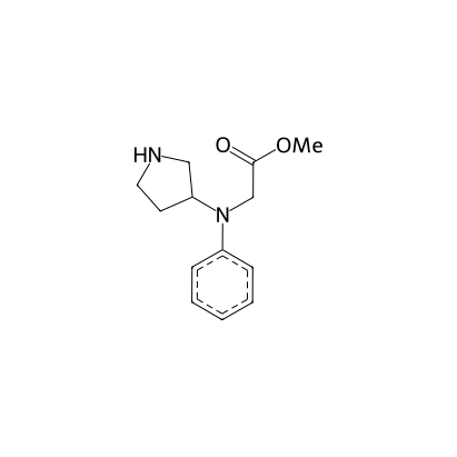 COC(=O)CN(c1ccccc1)C1CCNC1